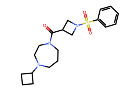 O=C(C1CN(S(=O)(=O)c2ccccc2)C1)N1CCCN(C2CCC2)CC1